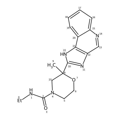 CCNC(=O)N1CCOC(C)(c2nc3cnc4ccccc4c3[nH]2)C1